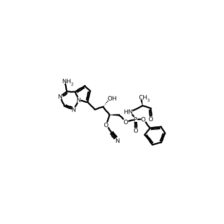 C[C@@H](C=O)NP(=O)(OC[C@@H](OC#N)[C@@H](O)Cc1ccc2c(N)ncnn12)Oc1ccccc1